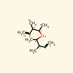 C=CC(C)C(C)OC(C)C(C)C=C